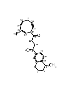 CC1CCCc2cc(C(=O)CCC(=O)C3C#CC/C=C\C(F)=C/3)ccc21